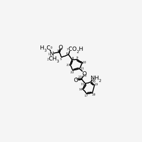 CN(C)C(=O)CC(C(=O)O)c1ccc(OC(=O)c2ccccc2N)cc1